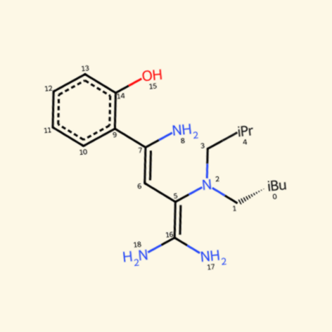 CC[C@@H](C)CN(CC(C)C)C(/C=C(\N)c1ccccc1O)=C(N)N